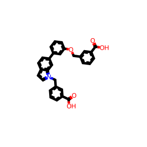 O=C(O)c1cccc(COc2cccc(-c3ccc4ccn(Cc5cccc(C(=O)O)c5)c4c3)c2)c1